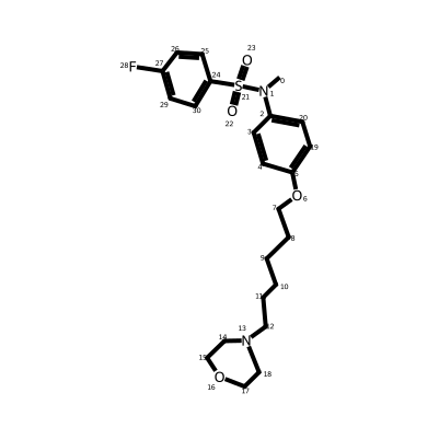 CN(c1ccc(OCCCCCCN2CCOCC2)cc1)S(=O)(=O)c1ccc(F)cc1